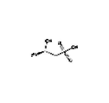 CCC[C@@H](O)CS(=O)(=O)O